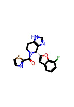 O=C(c1nccs1)N1CCc2[nH]cnc2[C@@H]1c1cc2cccc(F)c2o1